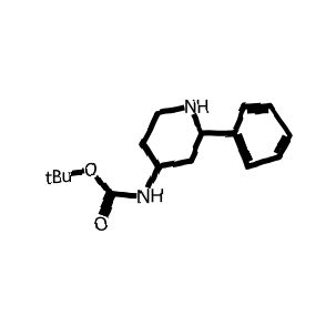 CC(C)(C)OC(=O)NC1CCNC(c2ccccc2)C1